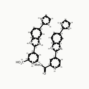 COC(=O)c1cc(-c2nc3cc(-c4nccs4)ccc3o2)ccn1.O=C(O)c1cc(-c2nc3cc(-c4nccs4)ccc3o2)ccn1